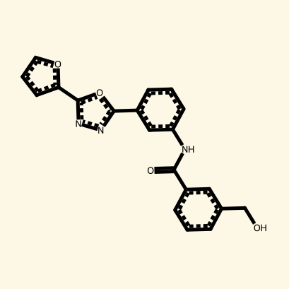 O=C(Nc1cccc(-c2nnc(-c3ccco3)o2)c1)c1cccc(CO)c1